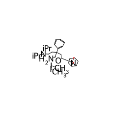 CC(C)N(CCC(CCN1CC2CCC(CC2)C1)(C(N)=O)c1ccccc1)C(C)C.CI.CI